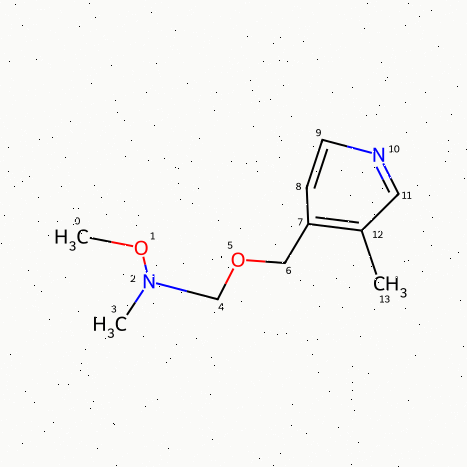 CON(C)COCc1ccncc1C